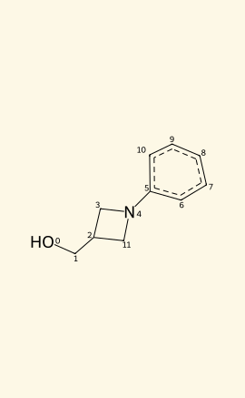 OCC1CN(c2ccccc2)C1